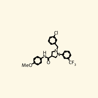 COc1ccc(NC(=O)C2CN(Cc3cccc(Cl)c3)N(c3cccc(C(F)(F)F)c3)C2)cc1